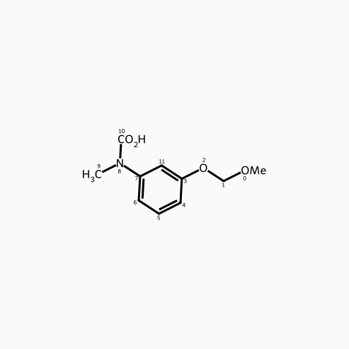 COCOc1cccc(N(C)C(=O)O)c1